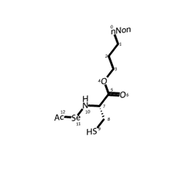 CCCCCCCCCCCCOC(=O)[C@H](CS)N[Se]C(C)=O